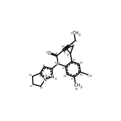 CCC#CC(=O)N(c1cc2n(n1)CCC2)c1cc(C)c(I)cc1C1CC1